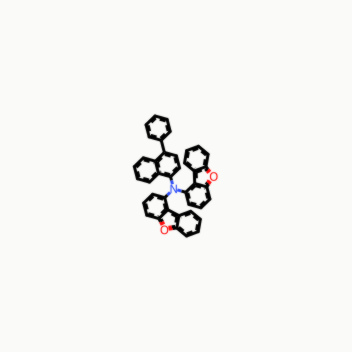 c1ccc(-c2ccc(N(c3cccc4oc5ccccc5c34)c3cccc4oc5ccccc5c34)c3ccccc23)cc1